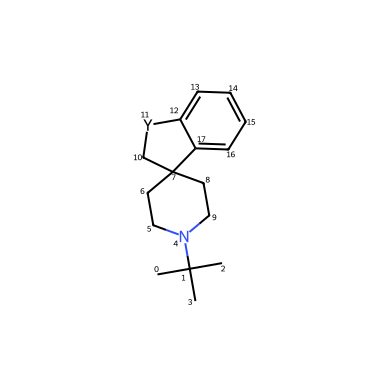 CC(C)(C)N1CCC2(CC1)[CH2][Y][c]1ccccc12